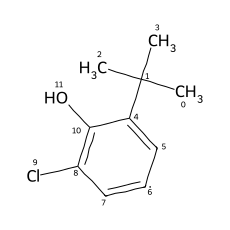 CC(C)(C)c1c[c]cc(Cl)c1O